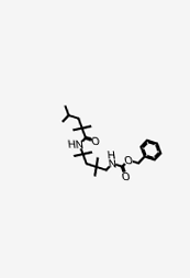 CC(C)CC(C)(C)C(=O)NC(C)(C)CC(C)(C)CNC(=O)OCc1ccccc1